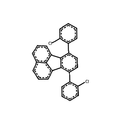 Clc1ccccc1-c1ccc(-c2ccccc2Cl)c2c1-c1cccc3cccc-2c13